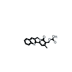 Cc1cc2n(c(=O)c1COC(=O)O)Cc1cc3ccccc3nc1-2